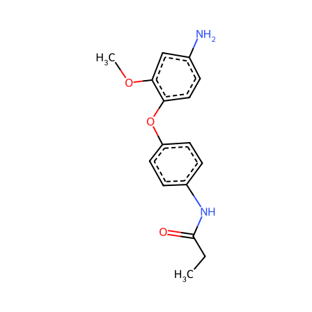 CCC(=O)Nc1ccc(Oc2ccc(N)cc2OC)cc1